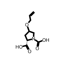 C=CCOC1C[C@@H](C(=O)O)N(C(=O)O)C1